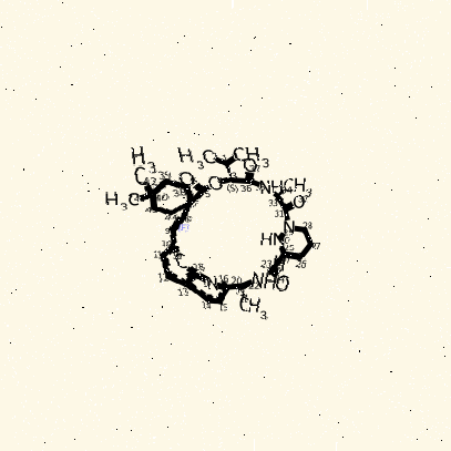 CC(C)[C@@H]1OC(=O)C2(/C=C/c3ccc4ccc(nc4c3)[C@@H](C)NC(=O)[C@@H]3CCCN(N3)C(=O)[C@H](C)NC1=O)CCC(C)(C)CC2